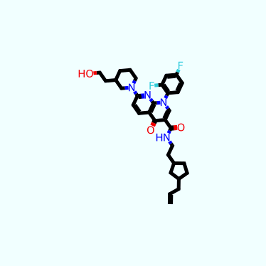 C=CCC1CCC(CCNC(=O)c2cn(-c3ccc(F)cc3F)c3nc(N4CCCC(CCO)C4)ccc3c2=O)C1